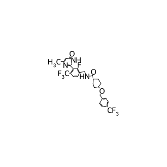 Cc1cc(=O)[nH]c(-c2c(C(F)(F)F)ccc(CNC(=O)[C@H]3CC[C@H](OCc4ccc(C(F)(F)F)cc4)CC3)c2F)n1